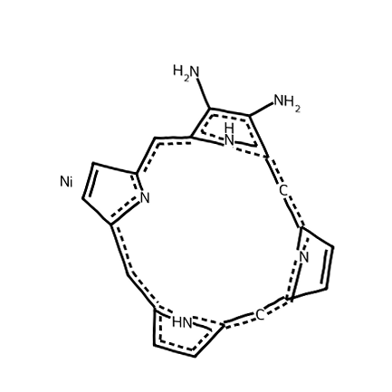 Nc1c(N)c2cc3nc(cc4ccc(cc5nc(cc1[nH]2)C=C5)[nH]4)C=C3.[Ni]